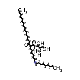 CCCCCCCC/C=C\CCCCCCC(C(=O)CCCCCCCCCCCCCCC)C(=O)PC(O)C(O)CO